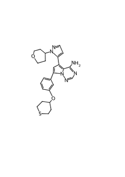 Nc1ncnn2c(-c3cccc(OC4CCSCC4)c3)cc(-c3ccnn3C3CCOCC3)c12